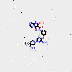 CC1(CN)CCN(c2cnc(Sc3cccc(NC(=O)c4c(O)nc5cnccn5c4=O)c3Cl)c(N)n2)CC1